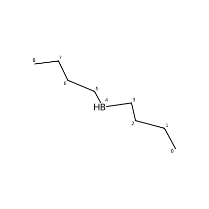 CCCCBCCCC